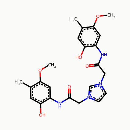 COc1cc(NC(=O)Cn2cc[n+](CC(=O)Nc3cc(OC)c(C)cc3O)c2)c(O)cc1C